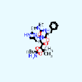 CCCCC1(N)OC(C(=O)[C@H](Cc2c[nH]cn2)NC(=O)[C@H](Cc2ccccc2)NC(=O)N(CC)CC)C(C)(C)O1